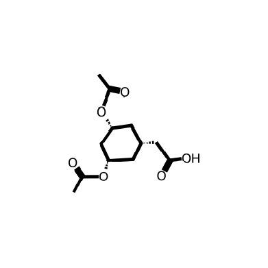 CC(=O)O[C@@H]1C[C@H](CC(=O)O)C[C@H](OC(C)=O)C1